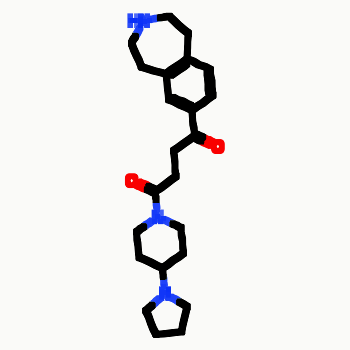 O=C(CCC(=O)N1CCC(N2CCCC2)CC1)c1ccc2c(c1)CCNCC2